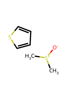 C[S+](C)[O-].c1ccsc1